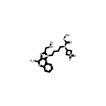 CCNCc1nc2c(N)nc3ccccc3c2n1CCCCN(C(=O)OC(C)(C)C)C1CS(=O)(=O)C1